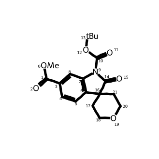 COC(=O)c1ccc2c(c1)N(C(=O)OC(C)(C)C)C(=O)C21CCOCC1